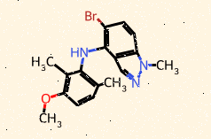 COc1ccc(C)c(Nc2c(Br)ccc3c2cnn3C)c1C